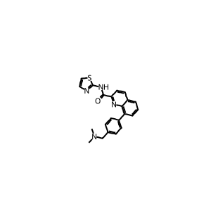 CN(C)Cc1ccc(-c2cccc3ccc(C(=O)Nc4nccs4)nc23)cc1